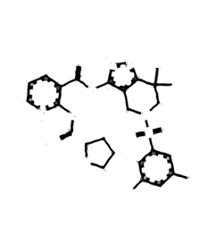 CC1(C)CN(S(=O)(=O)c2cc(F)cc(F)c2)Cc2c(NC(=O)c3cccnc3NC(=O)[C@@H]3CCCO3)n[nH]c21